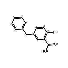 O=C(O)c1cc(Cc2ccccc2)ccc1F